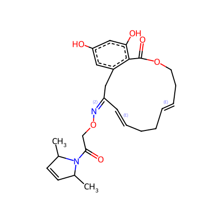 CC1C=CC(C)N1C(=O)CO/N=C1\C=C\CC/C=C/CCOC(=O)c2c(O)cc(O)cc2C1